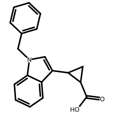 O=C(O)C1CC1c1cn(Cc2ccccc2)c2ccccc12